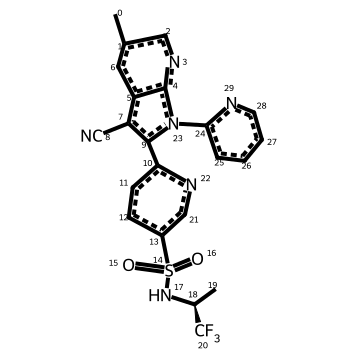 Cc1cnc2c(c1)c(C#N)c(-c1ccc(S(=O)(=O)N[C@@H](C)C(F)(F)F)cn1)n2-c1ccccn1